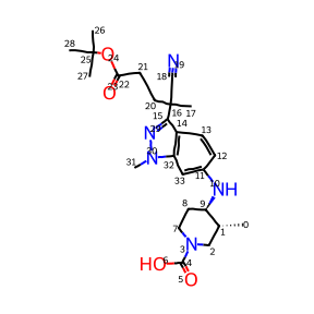 C[C@@H]1CN(C(=O)O)CC[C@H]1Nc1ccc2c(C(C)(C#N)CCC(=O)OC(C)(C)C)nn(C)c2c1